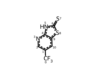 FC(F)(F)c1cnc2[nH]c(=S)sc2c1